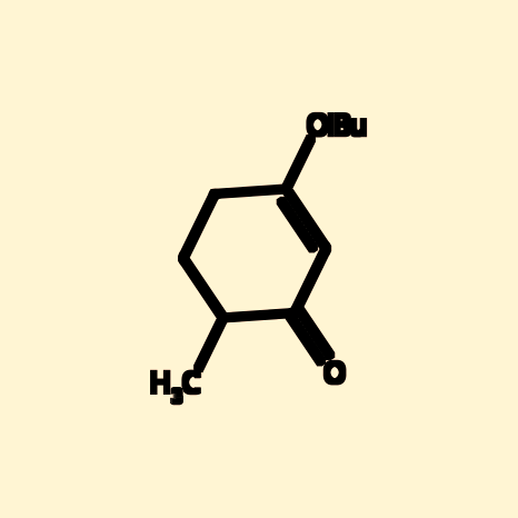 CC(C)COC1=CC(=O)C(C)CC1